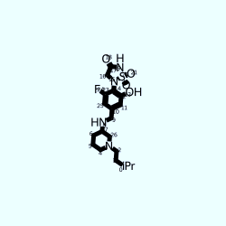 CC(C)CCN1CCCC(NCc2cc(O)c(N3CC(=O)NS3(=O)=O)c(F)c2)C1